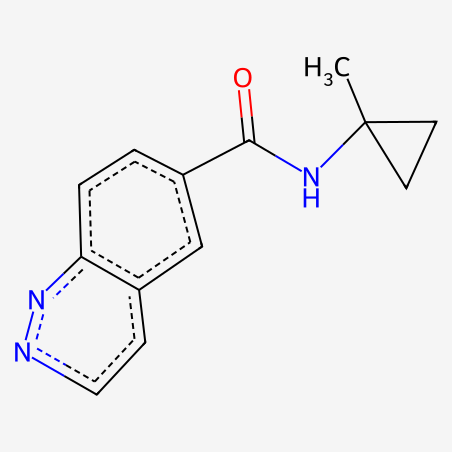 CC1(NC(=O)c2ccc3nnccc3c2)CC1